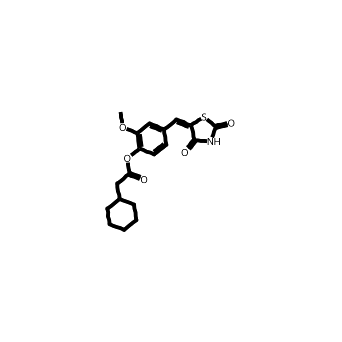 COc1cc(C=C2SC(=O)NC2=O)ccc1OC(=O)CC1CCCCC1